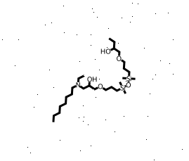 CCCCCCCCN(CC)CC(O)COCCC[Si](C)(C)O[Si](C)(C)CCCOCC(O)CC